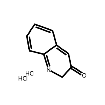 Cl.Cl.O=C1C=c2ccccc2=NC1